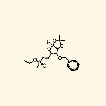 CCOP(C)(=O)CC[C@H]1O[C@@H]2OC(C)(C)OC2[C@H]1OCc1ccccc1